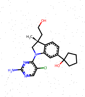 C[C@]1(CCO)CN(c2nc(N)ncc2Cl)c2cc(C3(O)CCCC3)ccc21